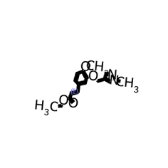 CCOC(=O)/C=C/c1ccc(OC)c(OCc2cnn(C)c2)c1